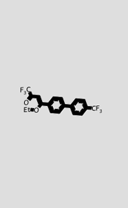 CCOC(=CC(=O)C(F)(F)F)c1ccc(-c2ccc(C(F)(F)F)cc2)cc1